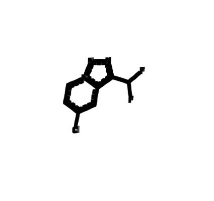 FC(F)c1nnn2ccc(Cl)cc12